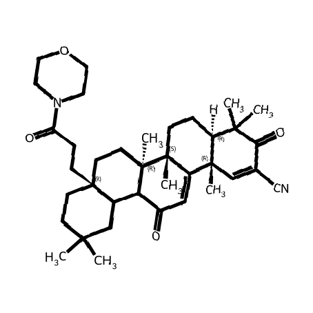 CC1(C)CC[C@]2(CCC(=O)N3CCOCC3)CC[C@]3(C)C(C(=O)C=C4[C@@]5(C)C=C(C#N)C(=O)C(C)(C)[C@@H]5CC[C@]43C)C2C1